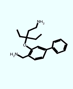 CCC(CC)(CCN)Oc1cc(-c2ccccc2)ccc1CN